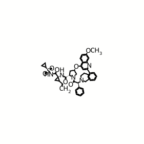 C=CC1C[C@@]1(NC(=O)[C@@H]1C[C@@H](Oc2cc(-c3ccccc3)nc3cc(OC)ccc23)CN1C(=O)[C@H](c1ccccc1)N1CCCCC1)C(=O)NS(=O)(=O)C1CC1